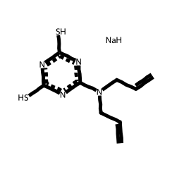 C=CCN(CC=C)c1nc(S)nc(S)n1.[NaH]